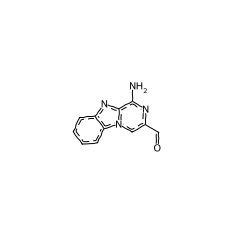 Nc1nc(C=O)cn2c1nc1ccccc12